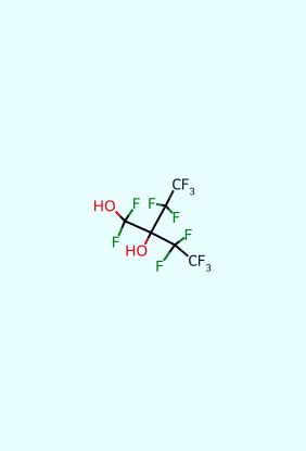 OC(F)(F)C(O)(C(F)(F)C(F)(F)F)C(F)(F)C(F)(F)F